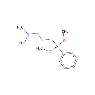 CO[Si](CCCN(C)C)(OC)c1ccccc1